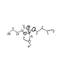 CCCCO[Si](CC(C)C)(OC)OCCCC